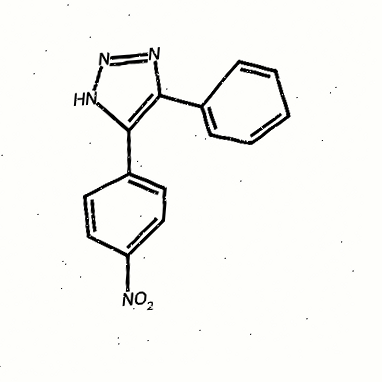 O=[N+]([O-])c1ccc(-c2[nH]nnc2-c2ccccc2)cc1